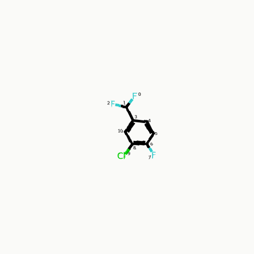 F[C](F)c1ccc(F)c(Cl)c1